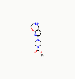 CC(C)OC(=O)N1CCN(c2ccc3c(n2)OCCNC3)CC1